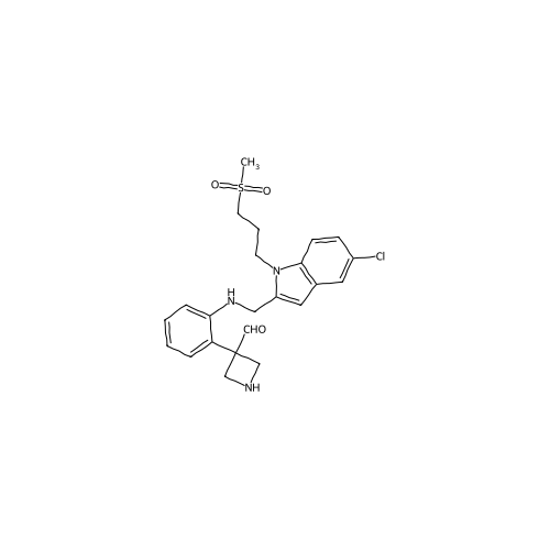 CS(=O)(=O)CCCn1c(CNc2ccccc2C2(C=O)CNC2)cc2cc(Cl)ccc21